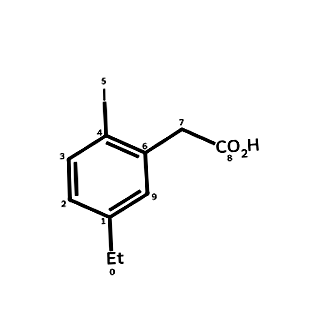 CCc1ccc(I)c(CC(=O)O)c1